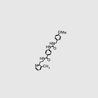 COc1ccc(CNC(=O)Nc2ccc(C(=O)NCCc3ncccc3C)cc2)cc1